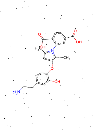 Cc1cc(Oc2ccc(CCN)cc2O)c(C)n1-c1cc(C(=O)O)ccc1C(=O)O